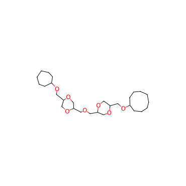 C1CCCCC(OCC2COC(COCC3COC(COC4CCCCCC4)CO3)CO2)CCC1